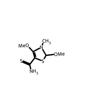 COC1=C(C(N)=S)SC(OC)N1C